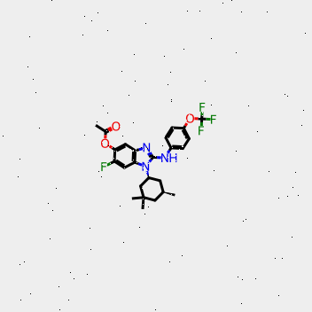 CC(=O)Oc1cc2nc(Nc3ccc(OC(F)(F)F)cc3)n([C@H]3C[C@@H](C)CC(C)(C)C3)c2cc1F